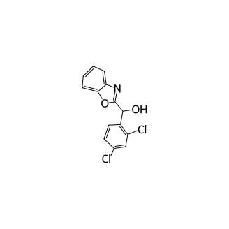 OC(c1nc2ccccc2o1)c1ccc(Cl)cc1Cl